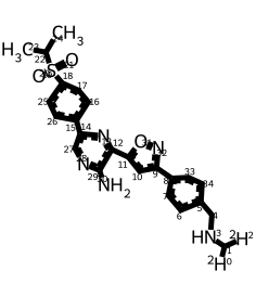 [2H]C([2H])NCc1ccc(-c2cc(-c3nc(-c4ccc(S(=O)(=O)C(C)C)cc4)cnc3N)on2)cc1